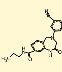 CCCNC(=O)c1ccc2c(c1)NC(=O)CN(c1cccc(C#N)c1)C2